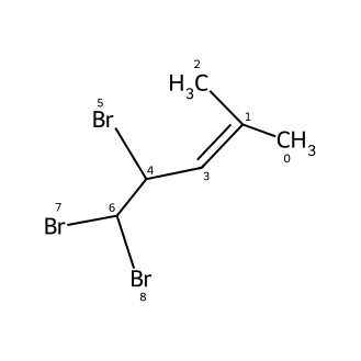 CC(C)=CC(Br)C(Br)Br